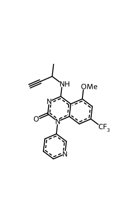 C#CC(C)Nc1nc(=O)n(-c2cccnc2)c2cc(C(F)(F)F)cc(OC)c12